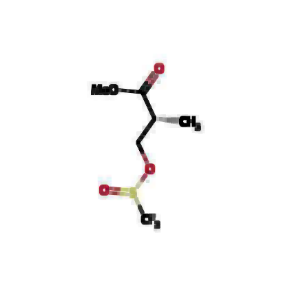 COC(=O)[C@H](C)COS(=O)C(F)(F)F